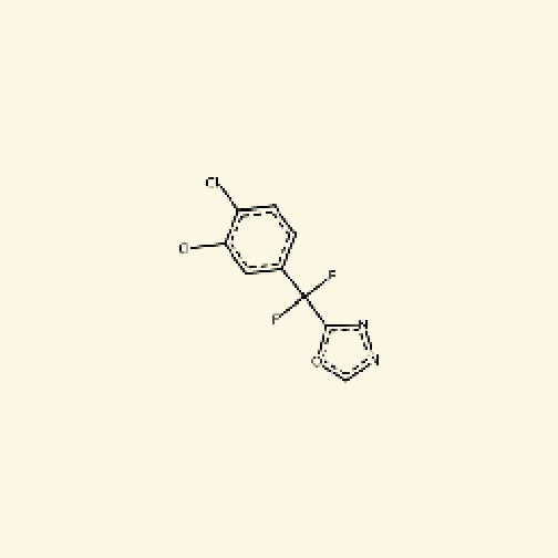 FC(F)(c1ccc(Cl)c(Cl)c1)c1nnco1